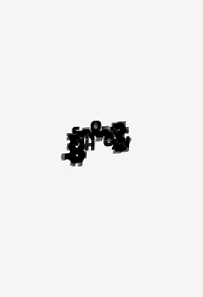 Cc1cccc(C)c1Cc1csc(CNC(=O)CCC(=O)N2CCCC2c2nccs2)n1